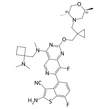 C[C@@H]1CO[C@@H](C)CN1CC1(COc2nc(N(C)CC3(N(C)C)CCC3)c3cnc(-c4ccc(F)c5sc(N)c(C#N)c45)c(F)c3n2)CC1